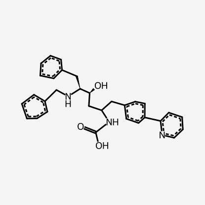 O=C(O)NC(Cc1ccc(-c2ccccn2)cc1)C[C@H](O)[C@H](Cc1ccccc1)NCc1ccccc1